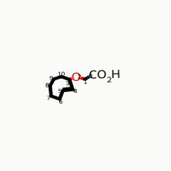 O=C(O)COC1/C=C/CCCCC1